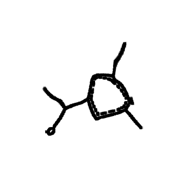 Cc1cc(C(C)[O])cc(C)n1